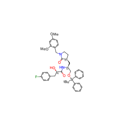 COc1ccc(CN2CC[C@@H](C[C@@H](CO[Si](c3ccccc3)(c3ccccc3)C(C)(C)C)NC(=O)[C@H](O)Cc3ccc(F)cc3)C2=O)c(OC)c1